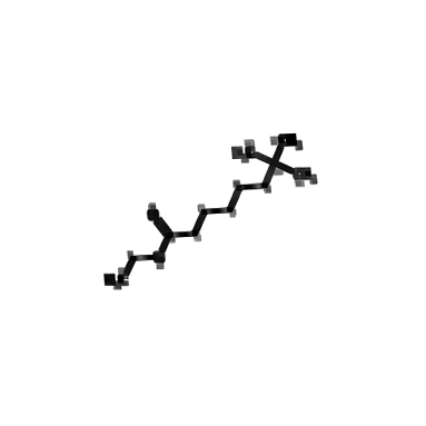 CCOC(=O)CCCCCC(C)(C)C